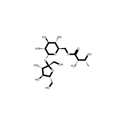 C[C@@H](O)[C@H](N)C(=O)OC[C@H]1O[C@H](O[C@]2(CO)O[C@H](CO)[C@@H](O)[C@@H]2O)[C@H](O)[C@@H](O)[C@@H]1O